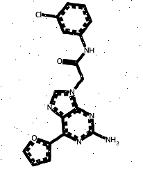 Nc1nc(-c2ccco2)c2ncn(CC(=O)Nc3cccc(Cl)c3)c2n1